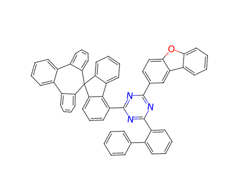 c1ccc(-c2ccccc2-c2nc(-c3ccc4oc5ccccc5c4c3)nc(-c3cccc4c3-c3ccccc3C43c4ccccc4-c4ccccc4-c4ccccc43)n2)cc1